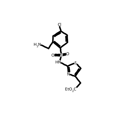 CCOC(=O)Cc1csc(NS(=O)(=O)c2ccc(Cl)cc2CN)n1